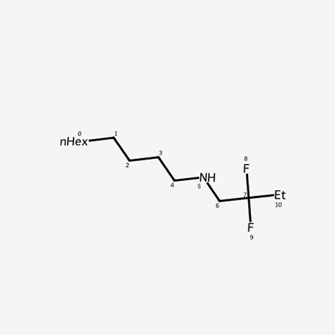 CCCCCCCCCCNCC(F)(F)CC